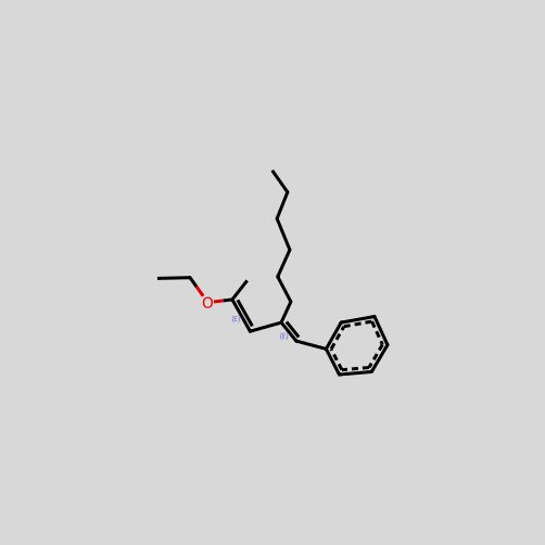 CCCCCCC(=C\c1ccccc1)/C=C(\C)OCC